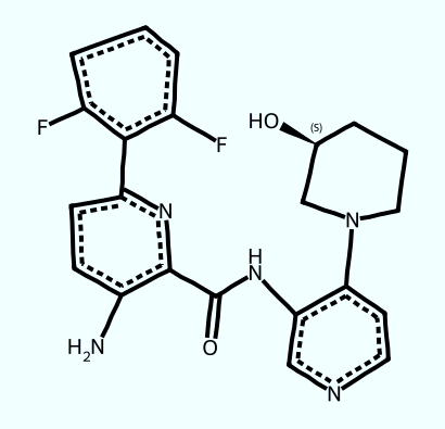 Nc1ccc(-c2c(F)cccc2F)nc1C(=O)Nc1cnccc1N1CCC[C@H](O)C1